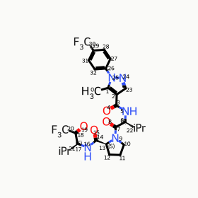 Cc1c(C(=O)N[C@H](C(=O)N2CCC[C@H]2C(=O)N[C@H](C(=O)C(F)(F)F)C(C)C)C(C)C)cnn1-c1ccc(C(F)(F)F)cc1